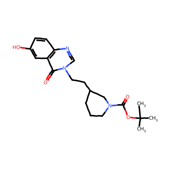 CC(C)(C)OC(=O)N1CCCC(CCn2cnc3ccc(O)cc3c2=O)C1